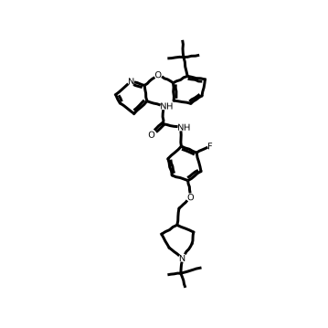 CC(C)(C)c1ccccc1Oc1ncccc1NC(=O)Nc1ccc(OCC2CCN(C(C)(C)C)CC2)cc1F